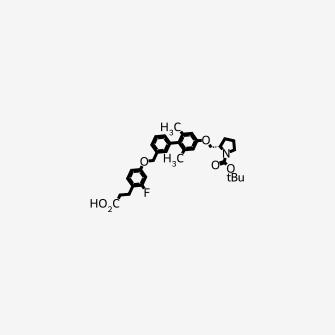 Cc1cc(OC[C@@H]2CCCN2C(=O)OC(C)(C)C)cc(C)c1-c1cccc(COc2ccc(CCC(=O)O)c(F)c2)c1